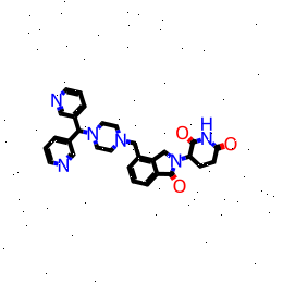 O=C1CCC(N2Cc3c(CN4CCN(C(c5cccnc5)c5cccnc5)CC4)cccc3C2=O)C(=O)N1